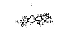 CC(C)(C)CC(Cc1ccc(O)c(C(C)(C)C)c1)C(=O)O